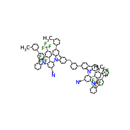 Cc1cccc(-c2ccc3c(c2)c2ccccc2n3-c2cc(C#N)cc(-n3c4ccc(Cc5cccc(-c6ccc7c8ccccc8n(-c8cc(C#N)cc(-n9c%10ccccc%10c%10ccc(-c%11cccc(C)c%11)cc%109)c8-c8ccc(C(F)(F)F)cc8C(F)(F)F)c7c6)c5)cc4c4cc(-c5cccc(C)c5)ccc43)c2-c2ccc(C(F)(F)F)cc2C(F)(F)F)c1